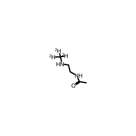 [2H]C([2H])([2H])NCCNC(C)=O